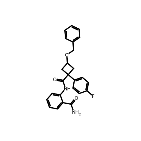 NC(=O)c1ccccc1NC(=O)C1(c2ccc(F)cc2)CC(OCc2ccccc2)C1